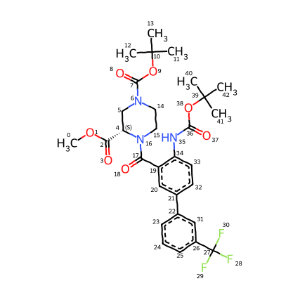 COC(=O)[C@@H]1CN(C(=O)OC(C)(C)C)CCN1C(=O)c1cc(-c2cccc(C(F)(F)F)c2)ccc1NC(=O)OC(C)(C)C